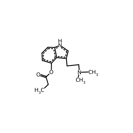 CCC(=O)Oc1cccc2[nH]cc(CCN(C)C)c12